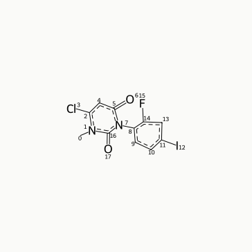 Cn1c(Cl)cc(=O)n(-c2ccc(I)cc2F)c1=O